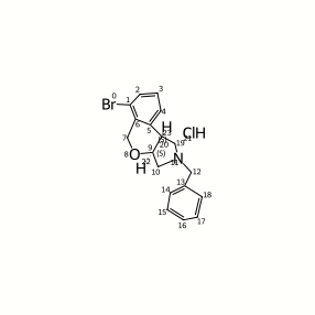 Brc1cccc2c1CO[C@@H]1CN(Cc3ccccc3)C[C@H]21.Cl